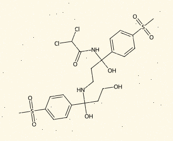 CS(=O)(=O)c1ccc(C(O)(CCO)NCCC(O)(NC(=O)C(Cl)Cl)c2ccc(S(C)(=O)=O)cc2)cc1